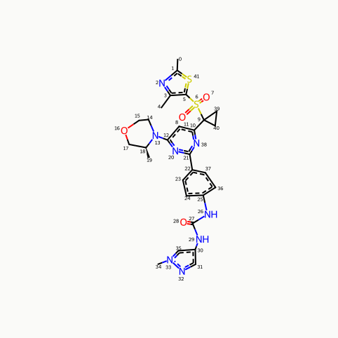 Cc1nc(C)c(S(=O)(=O)C2(c3cc(N4CCOC[C@@H]4C)nc(-c4ccc(NC(=O)Nc5cnn(C)c5)cc4)n3)CC2)s1